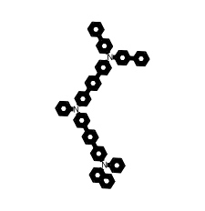 c1ccc(-c2ccc(N(c3ccc(-c4ccccc4)cc3)c3ccc(-c4ccc(-c5ccc(N(c6ccccc6)c6ccc(-c7ccc(-c8ccc(N(c9ccccc9)c9cccc%10ccccc9%10)cc8)cc7)cc6)cc5)cc4)cc3)cc2)cc1